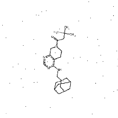 CC(C)(C)CC(=O)N1CCc2c(ncnc2NCC23CC4CC(CC(C4)C2)C3)C1